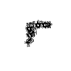 Cc1c(Oc2ccn3ncnc3c2)ccc(Nc2ncnc3ccc4c(c23)OC[C@@H]2CN(C(=O)OC(C)(C)C)CCN42)c1F